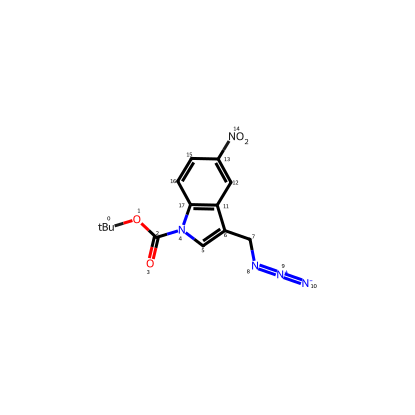 CC(C)(C)OC(=O)n1cc(CN=[N+]=[N-])c2cc([N+](=O)[O-])ccc21